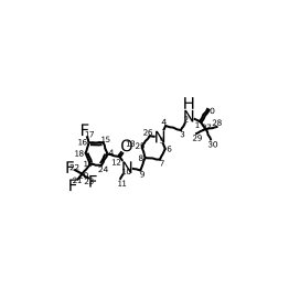 C=C(NCCN1CCC(CN(C)C(=O)c2cc(F)cc(C(F)(F)F)c2)CC1)C(C)(C)C